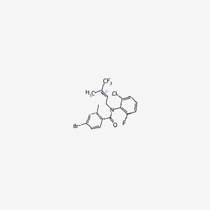 C/C(=C\CN(C(=O)c1ccc(Br)cc1I)c1c(F)cccc1Cl)C(F)(F)F